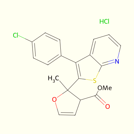 COC(=O)C1C=COC1(C)c1sc2ncccc2c1-c1ccc(Cl)cc1.Cl